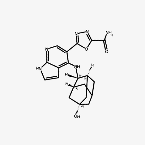 NC(=O)c1nnc(-c2cnc3[nH]ccc3c2N[C@H]2[C@@H]3CC4C[C@H]2C[C@@](O)(C4)C3)o1